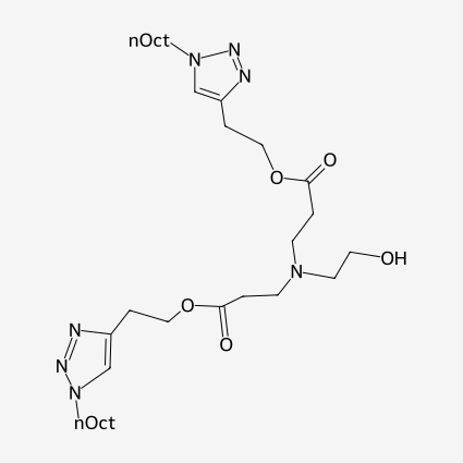 CCCCCCCCn1cc(CCOC(=O)CCN(CCO)CCC(=O)OCCc2cn(CCCCCCCC)nn2)nn1